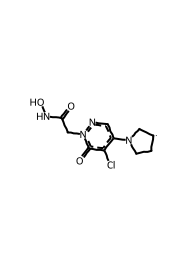 O=C(Cn1ncc(N2C[CH]CC2)c(Cl)c1=O)NO